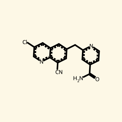 N#Cc1cc(Cc2cc(C(N)=O)ccn2)cc2cc(Cl)cnc12